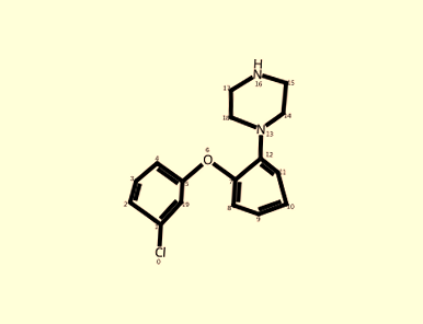 Clc1cccc(Oc2ccccc2N2CCNCC2)c1